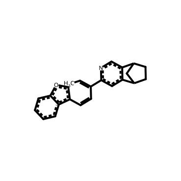 C/C=C(\C=C/c1coc2ccccc12)c1cc2c(cn1)C1CCC2C1